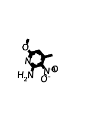 COc1cc(C)c([N+](=O)[O-])c(N)n1